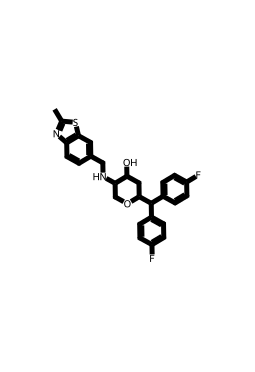 Cc1nc2ccc(CNC3COC(C(c4ccc(F)cc4)c4ccc(F)cc4)CC3O)cc2s1